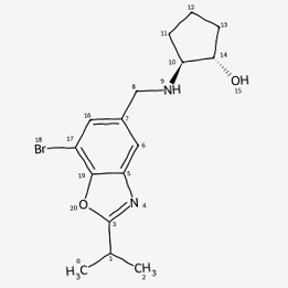 CC(C)c1nc2cc(CN[C@H]3CCC[C@@H]3O)cc(Br)c2o1